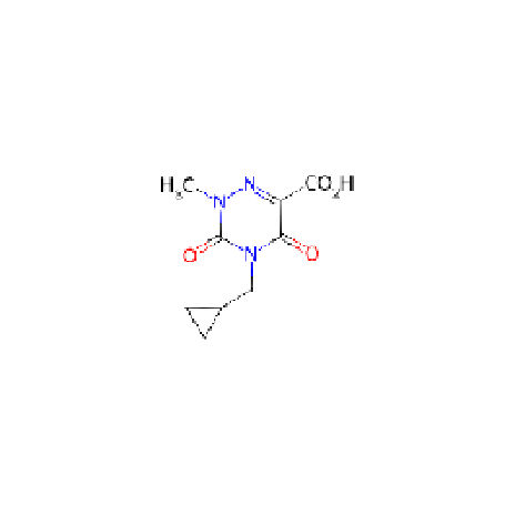 Cn1nc(C(=O)O)c(=O)n(CC2CC2)c1=O